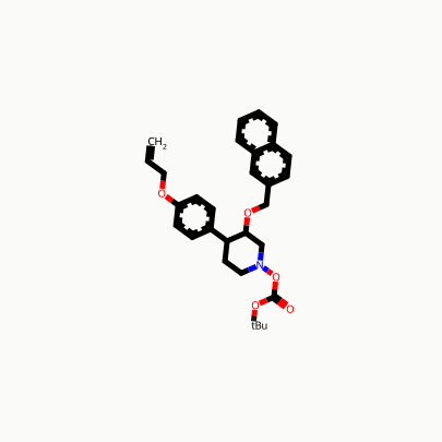 C=CCOc1ccc(C2CCN(OC(=O)OC(C)(C)C)CC2OCc2ccc3ccccc3c2)cc1